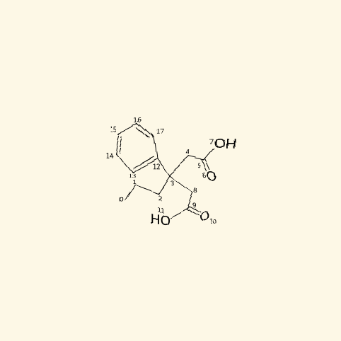 CCCC(CC(=O)O)(CC(=O)O)c1ccccc1